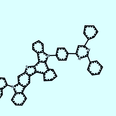 c1ccc(-c2cc(-c3ccc(-n4c5ccccc5c5c6sc7cc8c(cc7c6c6ccccc6c54)c4ccccc4n8-c4cccc5ccccc45)cc3)nc(-c3ccccc3)n2)cc1